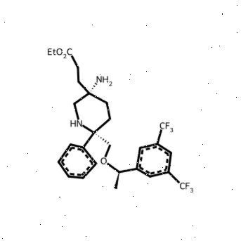 CCOC(=O)CC[C@@]1(N)CC[C@@](CO[C@H](C)c2cc(C(F)(F)F)cc(C(F)(F)F)c2)(c2ccccc2)NC1